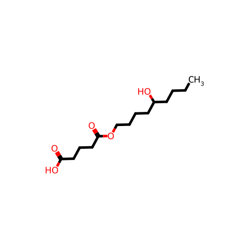 CCCCC(O)CCCCOC(=O)CCCC(=O)O